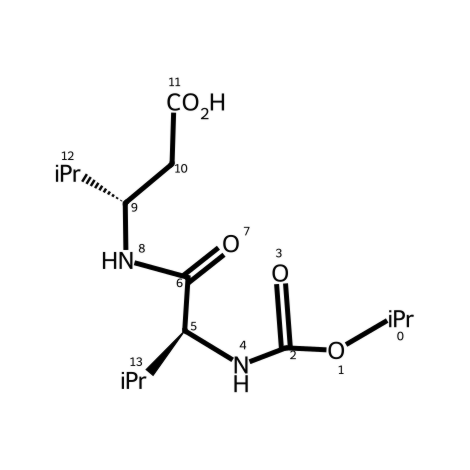 CC(C)OC(=O)N[C@H](C(=O)N[C@@H](CC(=O)O)C(C)C)C(C)C